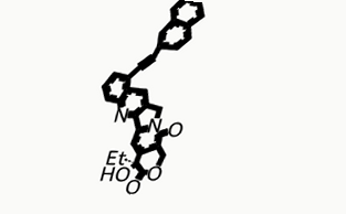 CC[C@@]1(O)C(=O)OCc2c1cc1n(c2=O)Cc2cc3c(C#Cc4ccc5cc(OC)ccc5c4)cccc3nc2-1